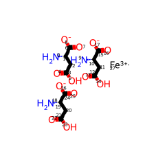 N[C@@H](CC(=O)O)C(=O)[O-].N[C@@H](CC(=O)O)C(=O)[O-].N[C@@H](CC(=O)O)C(=O)[O-].[Fe+3]